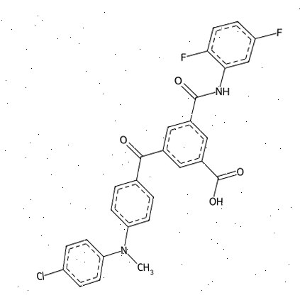 CN(c1ccc(Cl)cc1)c1ccc(C(=O)c2cc(C(=O)O)cc(C(=O)Nc3cc(F)ccc3F)c2)cc1